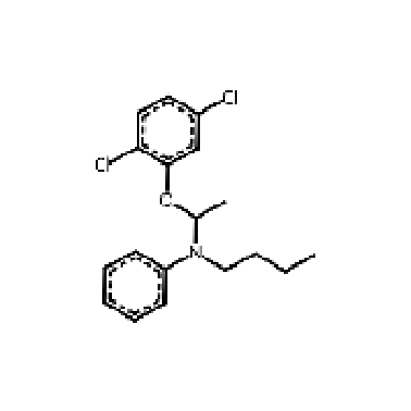 CCCCN(c1ccccc1)C(C)Oc1cc(Cl)ccc1Cl